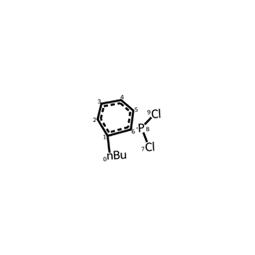 CCCCc1ccccc1.Cl[P]Cl